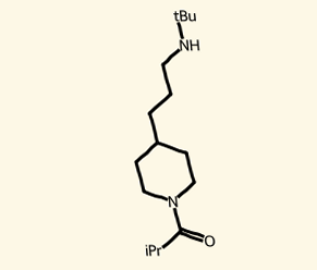 CC(C)C(=O)N1CCC(CCCNC(C)(C)C)CC1